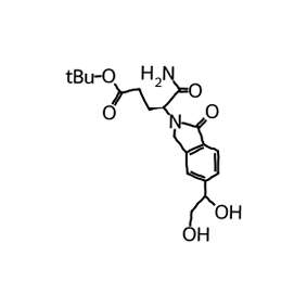 CC(C)(C)OC(=O)CC[C@@H](C(N)=O)N1Cc2cc(C(O)CO)ccc2C1=O